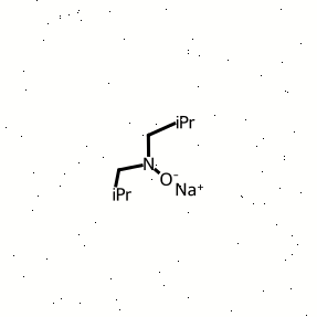 CC(C)CN([O-])CC(C)C.[Na+]